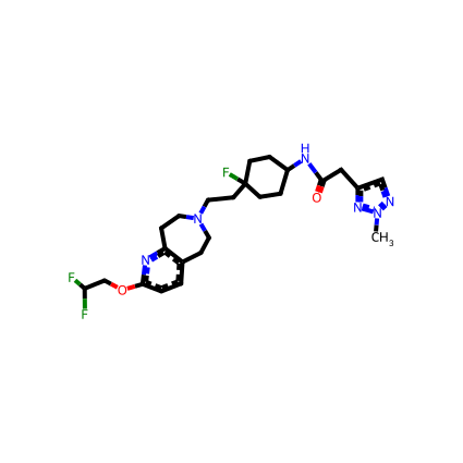 Cn1ncc(CC(=O)NC2CCC(F)(CCN3CCc4ccc(OCC(F)F)nc4CC3)CC2)n1